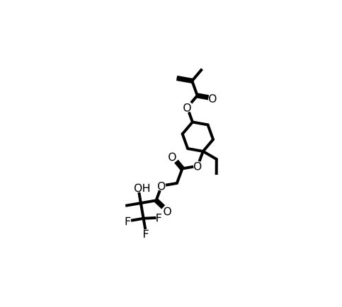 C=C(C)C(=O)OC1CCC(CC)(OC(=O)COC(=O)C(C)(O)C(F)(F)F)CC1